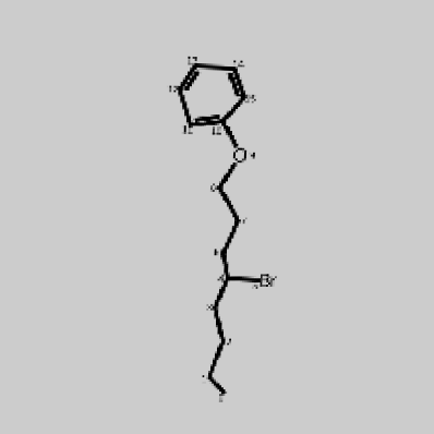 CCCCC(Br)CCCOc1ccccc1